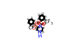 O=S(=O)(c1ccccc1C(F)(F)F)C1CNCCN1S(=O)(=O)c1ccccc1C(F)(F)F